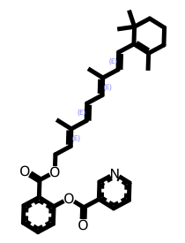 CC1=C(/C=C/C(C)=C/C=C/C(C)=C/COC(=O)c2ccccc2OC(=O)c2cccnc2)C(C)(C)CCC1